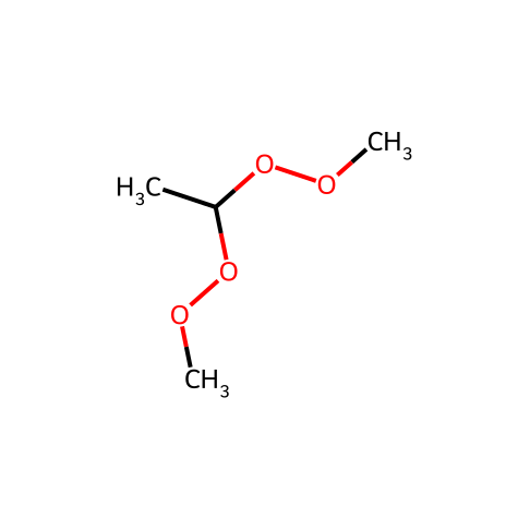 COOC(C)OOC